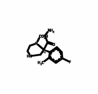 Cc1cc(F)ccc1[C@@]1(C(=O)CN)CNCCN1C(=O)O